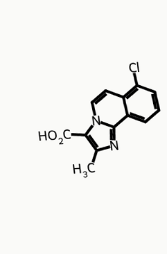 Cc1nc2c3cccc(Cl)c3ccn2c1C(=O)O